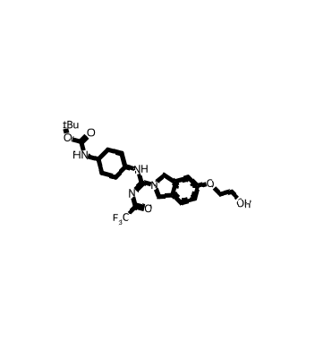 CC(C)(C)OC(=O)NC1CCC(N/C(=N/C(=O)C(F)(F)F)N2Cc3ccc(OCCO)cc3C2)CC1